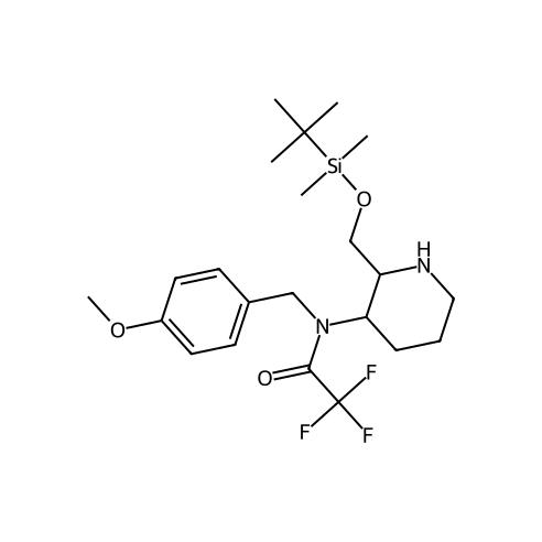 COc1ccc(CN(C(=O)C(F)(F)F)C2CCCNC2CO[Si](C)(C)C(C)(C)C)cc1